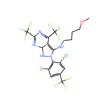 COCCCCNC1=C2C(C(F)(F)F)=NC(C(F)(F)F)=NC2NN1c1c(Cl)cc(C(F)(F)F)cc1Cl